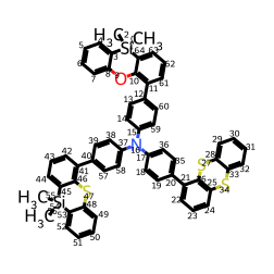 C[Si]1(C)c2ccccc2Oc2c(-c3ccc(N(c4ccc(-c5cccc6c5Sc5ccccc5S6)cc4)c4ccc(-c5cccc6c5Sc5ccccc5[Si]6(C)C)cc4)cc3)cccc21